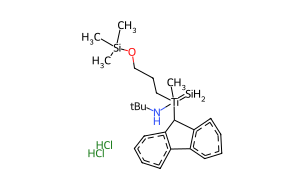 CC(C)(C)[NH][Ti]([CH3])(=[SiH2])([CH2]CCO[Si](C)(C)C)[CH]1c2ccccc2-c2ccccc21.Cl.Cl